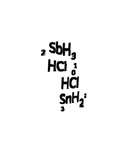 Cl.Cl.[SbH3].[SnH2]